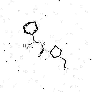 C[C](C)CN1CC[C@@H](C(=O)N[C@H](C)c2ccccc2)C1